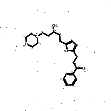 CC(CCc1ccc(CCC(C)c2ccccc2)s1)CCN1CCOCC1